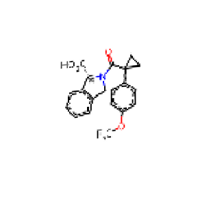 O=C(O)[C@H]1c2ccccc2CN1C(=O)C1(c2ccc(OC(F)(F)F)cc2)CC1